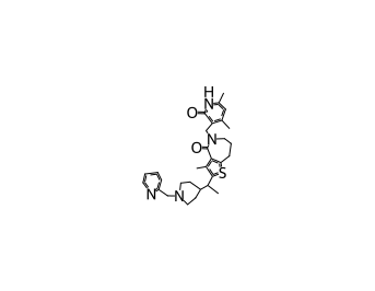 Cc1cc(C)c(CN2CCCc3sc(C(C)C4CCN(Cc5ccccn5)CC4)c(C)c3C2=O)c(=O)[nH]1